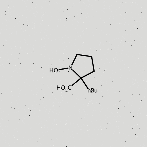 CCCCC1(C(=O)O)CCCN1O